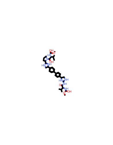 COC(O)NC(C(=O)NC1NCC(c2ccc(-c3ccc(C4CNC(C5CCCN5C(O)C(NC(O)OC)C(C)C)N4)cc3)cc2)N1)C(C)C